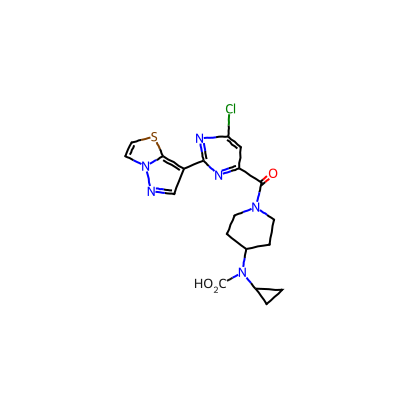 O=C(c1cc(Cl)nc(-c2cnn3ccsc23)n1)N1CCC(N(C(=O)O)C2CC2)CC1